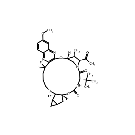 COc1ccc2nc3c(nc2c1)O[C@H]1CN(C(=O)[C@H](C(C)(C)C)NC(=O)O[C@@H]2CC4CC4[C@H]2OCCCC3(F)F)[C@H](C(C)=O)[C@@H]1C